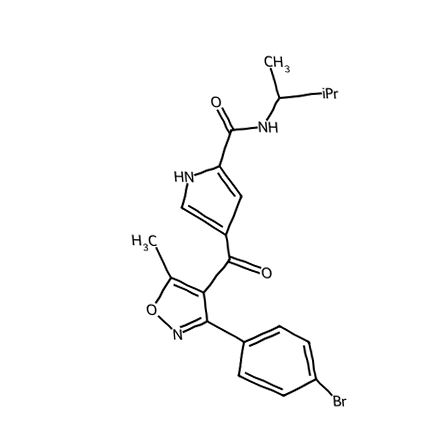 Cc1onc(-c2ccc(Br)cc2)c1C(=O)c1c[nH]c(C(=O)NC(C)C(C)C)c1